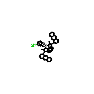 CC1=C(c2cccc3cc4ccccc4cc23)c2ccccc2[CH]1[Zr+2](=[SiH2])([CH2]c1ccccc1)[CH]1C(C)=C(c2cccc3cc4ccccc4cc23)c2ccccc21.[Cl-].[Cl-]